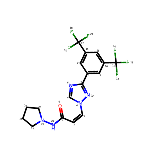 O=C(/C=C\n1cnc(-c2cc(C(F)(F)F)cc(C(F)(F)F)c2)n1)NN1CCCC1